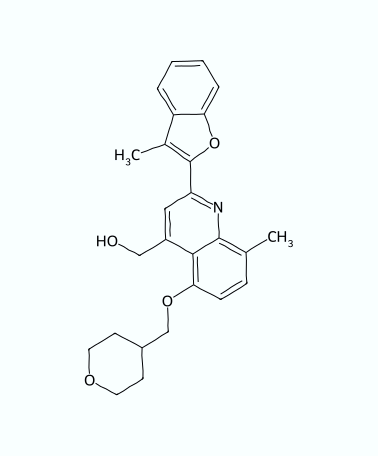 Cc1c(-c2cc(CO)c3c(OCC4CCOCC4)ccc(C)c3n2)oc2ccccc12